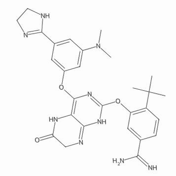 CN(C)c1cc(OC2=C3NC(=O)CN=C3NC(Oc3cc(C(=N)N)ccc3C(C)(C)C)=N2)cc(C2=NCCN2)c1